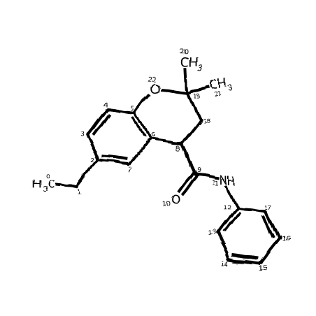 CCc1ccc2c(c1)C(C(=O)Nc1ccccc1)CC(C)(C)O2